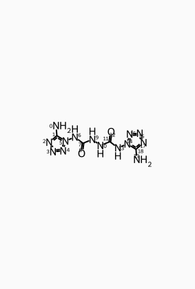 Nc1nnnn1NC(=O)NNC(=O)Nn1nnnc1N